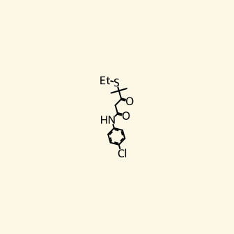 CCSC(C)(C)C(=O)CC(=O)Nc1ccc(Cl)cc1